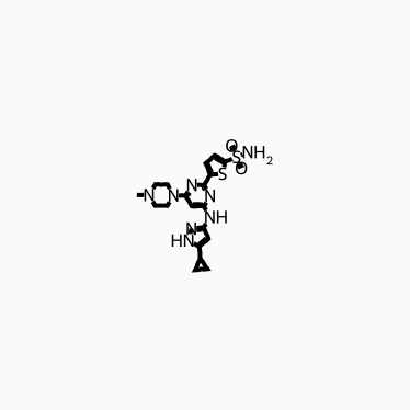 CN1CCN(c2cc(Nc3cc(C4CC4)[nH]n3)nc(-c3ccc(S(N)(=O)=O)s3)n2)CC1